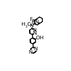 CN(c1ccc(-c2ccc(-c3cnccn3)cc2O)nn1)[C@@H]1CC2CCCC(N2)[C@@H]1F